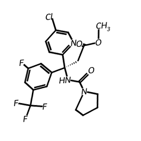 COC(=O)C[C@](NC(=O)N1CCCC1)(c1cc(F)cc(C(F)(F)F)c1)c1ccc(Cl)cn1